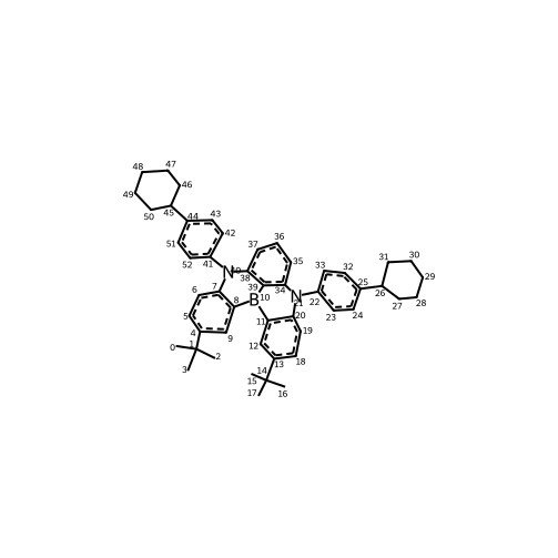 CC(C)(C)c1ccc2c(c1)B1c3cc(C(C)(C)C)ccc3N(c3ccc(C4CCCCC4)cc3)c3cccc(c31)N2c1ccc(C2CCCCC2)cc1